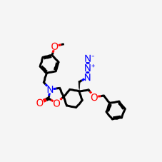 COc1ccc(CN2CC3(CCC[C@@](CN=[N+]=[N-])(COCc4ccccc4)C3)OC2=O)cc1